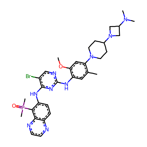 COc1cc(N2CCC(N3CC(N(C)C)C3)CC2)c(C)cc1Nc1ncc(Br)c(Nc2ccc3nccnc3c2P(C)(C)=O)n1